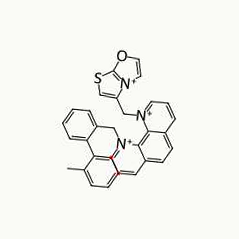 Cc1ccccc1-c1ccccc1C[n+]1cccc2ccc3ccc[n+](Cc4csc5occ[n+]45)c3c21